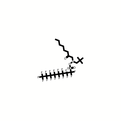 CCCCCCC(=O)C[S+](CC(C)(C)C)OS(=O)(=O)C(F)(F)C(F)(F)C(F)(F)C(F)(F)C(F)(F)C(F)(F)C(F)(F)C(F)(F)F